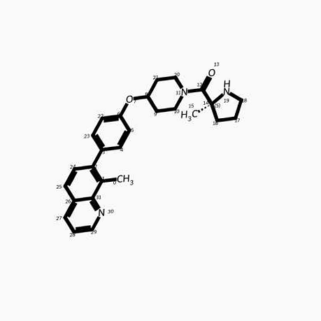 Cc1c(-c2ccc(OC3CCN(C(=O)[C@]4(C)CCCN4)CC3)cc2)ccc2cccnc12